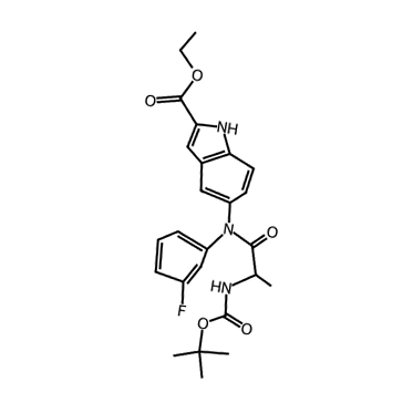 CCOC(=O)c1cc2cc(N(C(=O)C(C)NC(=O)OC(C)(C)C)c3cccc(F)c3)ccc2[nH]1